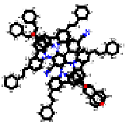 N#Cc1ccc(-c2c(-n3c4ccc(/C=C/C5CCCCC5)cc4c4cc(/C=C/C5CCCCC5)ccc43)c(-n3c4ccc(/C=C/C5CCCCC5)cc4c4cc(/C=C/C5CCCCC5)ccc43)c(C#N)c(-n3c4ccc(/C=C/C5CCCCC5)cc4c4cc(/C=C/C5CCCCC5)ccc43)c2-n2c3ccc(/C=C/C4CCCCC4)cc3c3cc(/C=C/C4CCCCC4)ccc32)cc1